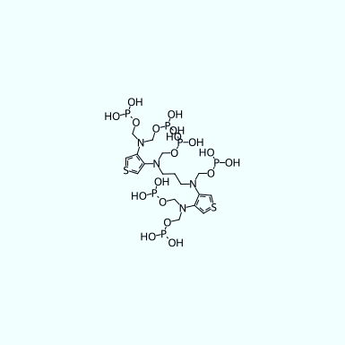 OP(O)OCN(CCCN(COP(O)O)c1cscc1N(COP(O)O)COP(O)O)c1cscc1N(COP(O)O)COP(O)O